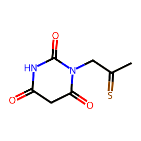 CC(=S)CN1C(=O)CC(=O)NC1=O